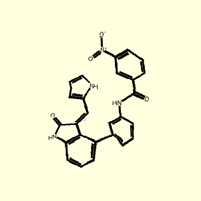 O=C1Nc2cccc(-c3cccc(NC(=O)c4cccc([N+](=O)[O-])c4)c3)c2/C1=C/c1ccc[nH]1